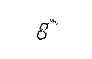 NC1CC[N+]2(CCCCC2)C1